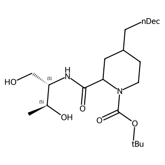 CCCCCCCCCCCC1CCN(C(=O)OC(C)(C)C)C(C(=O)N[C@@H](CO)[C@H](C)O)C1